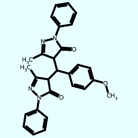 COc1ccc(C(C2C(=O)N(c3ccccc3)N=C2C)C2C(=O)N(c3ccccc3)N=C2C)cc1